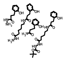 CC(C)(C)OC(=O)NNC(=O)CCCCCNC(=O)CCc1ccccc1O.NC(=O)CCc1ccccc1O.NNC(=O)CCCCCNC(=O)CCc1ccccc1O.NNC(=O)CCc1ccccc1O